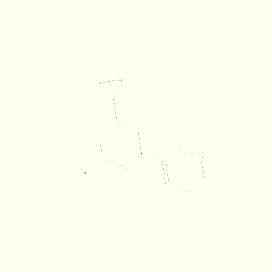 CC(C)(C)[S+]([O-])N=C(CCC1CC1)c1cccnc1